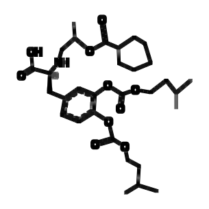 CC(C)CCOC(=O)Oc1ccc(C[C@H](NCC(C)OC(=O)C2CCCCC2)C(=O)O)cc1OC(=O)OCCC(C)C